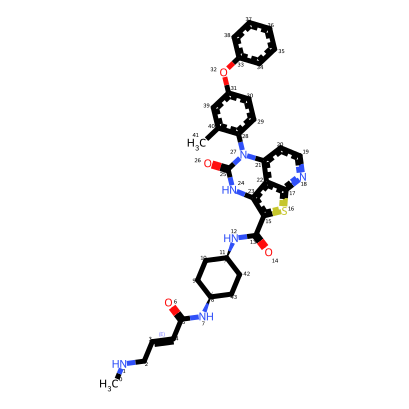 CNC/C=C/C(=O)N[C@H]1CC[C@@H](NC(=O)c2sc3nccc4c3c2NC(=O)N4c2ccc(Oc3ccccc3)cc2C)CC1